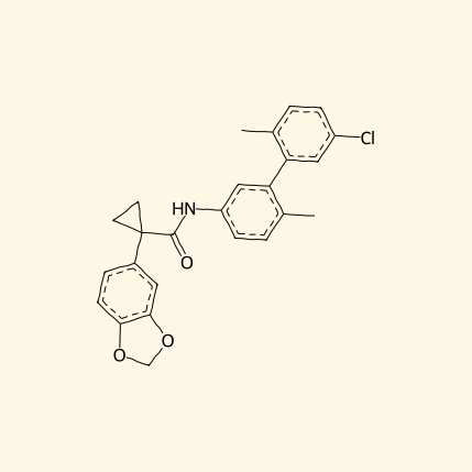 Cc1ccc(Cl)cc1-c1cc(NC(=O)C2(c3ccc4c(c3)OCO4)CC2)ccc1C